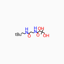 CC(C)(C)CCNC(=O)CCNC(=O)C(O)C(C)(C)CO